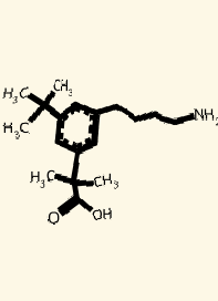 CC(C)(C)c1cc(CCCCN)cc(C(C)(C)C(=O)O)c1